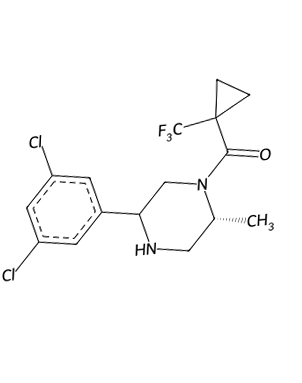 C[C@@H]1CNC(c2cc(Cl)cc(Cl)c2)CN1C(=O)C1(C(F)(F)F)CC1